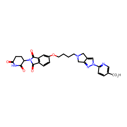 O=C1CCC(N2C(=O)c3ccc(OCCCCN4Cc5cn(-c6ccc(C(=O)O)cn6)nc5C4)cc3C2=O)C(=O)N1